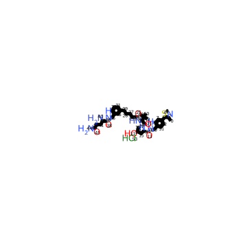 Cc1ncsc1-c1ccc(CNC(=O)[C@@H]2C[C@@H](O)CN2C(=O)[C@@H](NC(=O)CCCCc2cccc(CNC(=O)[C@@H](N)CCC(N)=O)c2)C(C)(C)C)cc1.Cl